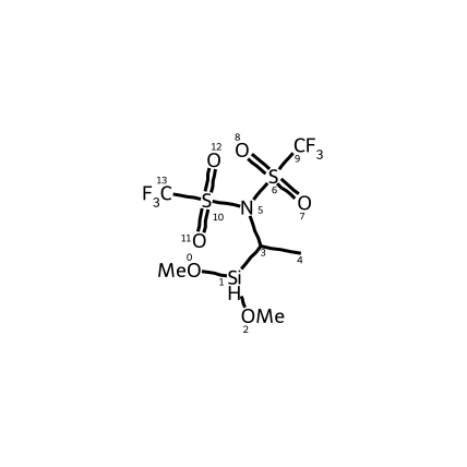 CO[SiH](OC)C(C)N(S(=O)(=O)C(F)(F)F)S(=O)(=O)C(F)(F)F